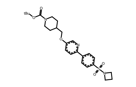 CC(C)(C)OC(=O)N1CCC(COc2ccc(-c3ccc(S(=O)(=O)N4CCC4)cc3)nc2)CC1